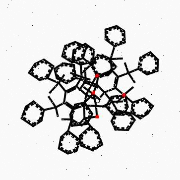 CC(C)(C1=C(C(C)(C)c2ccccc2)C(OC2(C(C)(C)c3ccccc3)C(C(C)(C)c3ccccc3)=C(C(C)(C)c3ccccc3)C(C(C)(C)c3ccccc3)=C(C(C)(C)c3ccccc3)C2(C(C)(C)c2ccccc2)C(C)(C)c2ccccc2)(C(C)(C)c2ccccc2)C(C(C)(C)c2ccccc2)(C(C)(C)c2ccccc2)C(C(C)(C)c2ccccc2)=C1C(C)(C)c1ccccc1)c1ccccc1